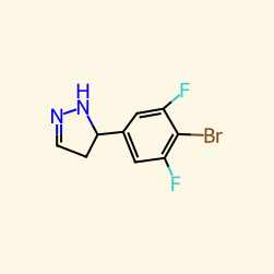 Fc1cc(C2CC=NN2)cc(F)c1Br